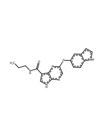 CCCNC(=O)c1c[nH]c2ncc(Oc3ccc4[nH]ccc4c3)nc12